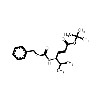 CC(C)[C@H](C=CC(=O)OC(C)(C)C)NC(=O)OCc1ccccc1